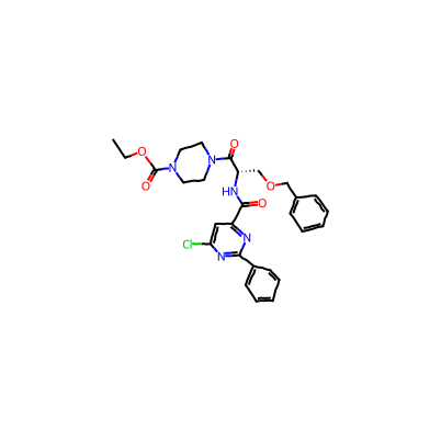 CCOC(=O)N1CCN(C(=O)[C@H](COCc2ccccc2)NC(=O)c2cc(Cl)nc(-c3ccccc3)n2)CC1